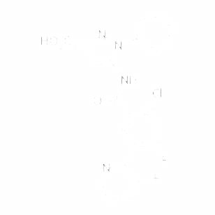 O=C(O)c1cc(NC(=O)c2cc(-c3ncccc3F)c(F)cc2Cl)n(-c2ccccc2)n1